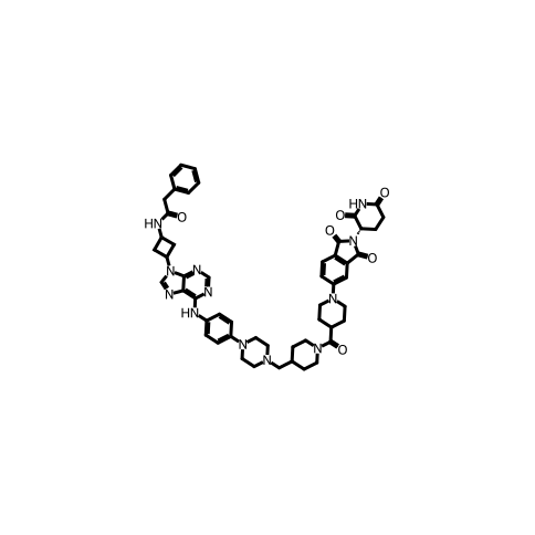 O=C1CC[C@H](N2C(=O)c3ccc(N4CCC(C(=O)N5CCC(CN6CCN(c7ccc(Nc8ncnc9c8ncn9C8CC(NC(=O)Cc9ccccc9)C8)cc7)CC6)CC5)CC4)cc3C2=O)C(=O)N1